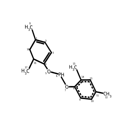 CC1=CC=C(OPOc2ccc(C)cc2C)C(C)C1